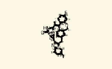 C/C(=C1/c2ccc(Cc3c(C4CC4)nc4ccc(F)cn34)cc2COc2cc(F)ccc21)c1noc(=O)[nH]1